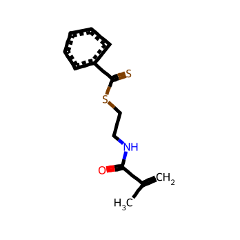 C=C(C)C(=O)NCCSC(=S)c1ccccc1